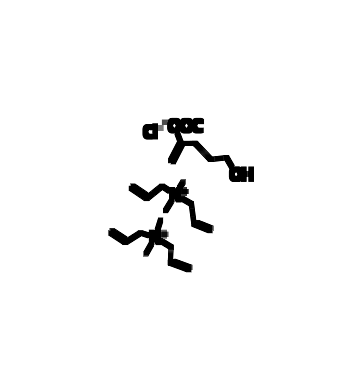 C=C(CCCO)C(=O)[O-].C=CC[N+](C)(C)CC=C.C=CC[N+](C)(C)CC=C.[Cl-]